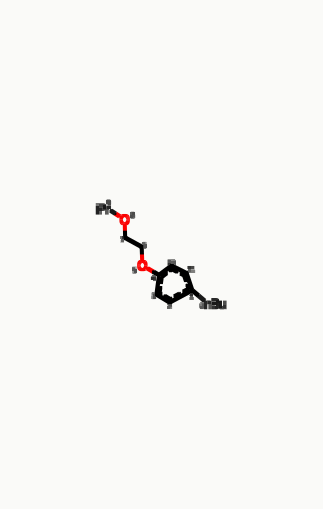 CCCCc1ccc(OCCOC(C)C)cc1